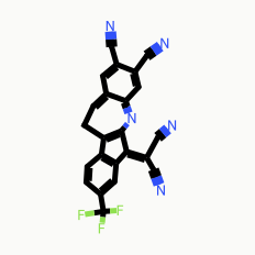 N#CC(C#N)=C1C2=C(CC=c3cc(C#N)c(C#N)cc3=N2)c2ccc(C(F)(F)F)cc21